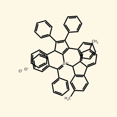 Cc1ccc2c(c1)[CH]([Zr+2]([C]1=C(c3ccccc3)C(c3ccccc3)=C(c3ccccc3)C1c1ccccc1)=[C](c1ccccc1)c1ccccc1)c1cc(C)ccc1-2.[Cl-].[Cl-]